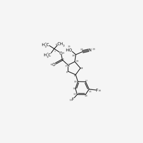 CC(C)(C)OC(=O)N1CC(c2cc(F)cc(F)c2)CC1C(O)C#N